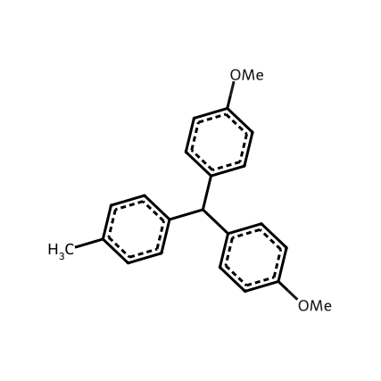 COc1ccc(C(c2ccc(C)cc2)c2ccc(OC)cc2)cc1